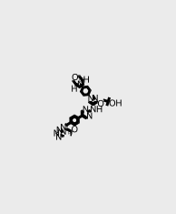 C[C@@H](Cn1cnnn1)Oc1cc(-c2cnc(Nc3cn([C@H]4CC[C@H](N5[C@@H]6CC[C@H]5COC6)CC4)nc3OCC(C)(C)O)nc2)ccc1C#N